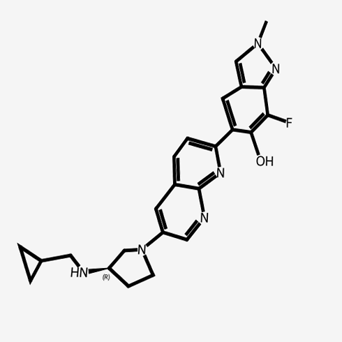 Cn1cc2cc(-c3ccc4cc(N5CC[C@@H](NCC6CC6)C5)cnc4n3)c(O)c(F)c2n1